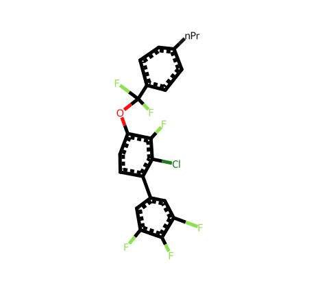 CCCc1ccc(C(F)(F)Oc2ccc(-c3cc(F)c(F)c(F)c3)c(Cl)c2F)cc1